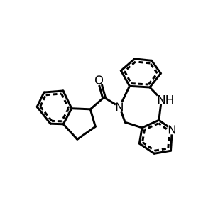 O=C(C1CCc2ccccc21)N1Cc2cccnc2Nc2ccccc21